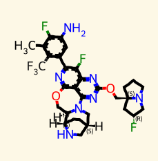 Cc1c(F)c(N)cc(-c2nc3c4c(nc(OC[C@@]56CCCN5C[C@H](F)C6)nc4c2F)N2C[C@H]4CC[C@H](NC4)[C@H]2CO3)c1C(F)(F)F